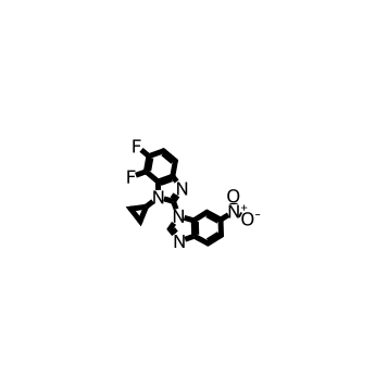 O=[N+]([O-])c1ccc2ncn(-c3nc4ccc(F)c(F)c4n3C3CC3)c2c1